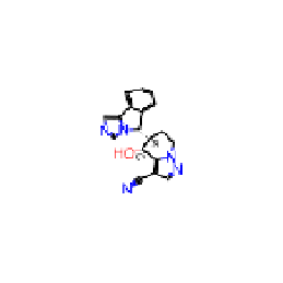 N#Cc1cnn2c1[C@H](O)[C@H](C1c3ccccc3-c3cncn31)CC2